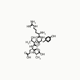 C[C@H](NC(=O)[C@@H](CCC(=O)O)NC(=O)[C@H](NC(=O)[C@@H](Cc1ccc(O)cc1)NC(=O)[C@H](N)CCCNC(=N)N)[C@H](C)O)C(=O)O